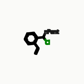 C=Cc1ccccc1C(Cl)CCCCC